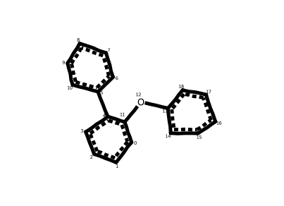 [c]1cccc(-c2ccccc2)c1Oc1ccccc1